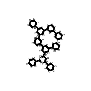 c1ccc(-c2cccc(-c3cc(-c4ccccc4)cc(-c4cccc(-c5cc(-c6ccccc6)cc(-c6cc(-c7ccccc7)nc(-c7ccccc7)n6)c5)c4)c3)c2)cc1